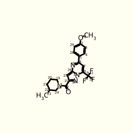 COc1ccc(-c2cc(C(F)(F)F)n3nc(C(=O)N4CCCC(C)C4)cc3n2)cc1